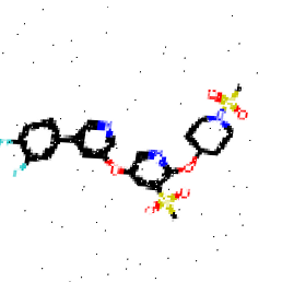 CS(=O)(=O)c1cc(Oc2cncc(-c3ccc(F)c(F)c3)c2)cnc1OC1CCN(S(C)(=O)=O)CC1